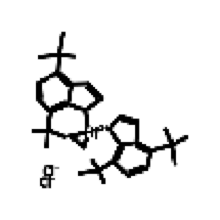 CC(C)(C)c1ccc(C(C)(C)C)c2c1C=C[CH]2[Hf+2]1([CH]2C=Cc3c(C(C)(C)C)ccc(C(C)(C)C)c32)[CH2][CH2]1.[Cl-].[Cl-]